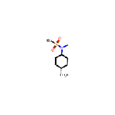 CN([C@H]1CC[C@H](C(=O)O)CC1)S(=O)(=O)C(C)(C)C